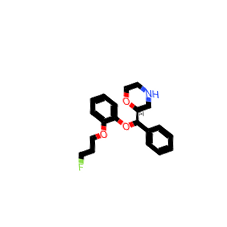 FCCCOc1ccccc1OC(c1ccccc1)[C@@H]1CNCCO1